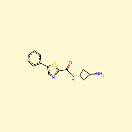 N[C@H]1C[C@H](NC(=O)c2ncc(-c3ccccc3)s2)C1